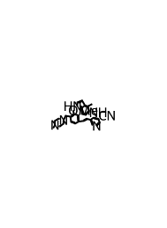 COc1cc(/C=C/c2cncc(C#N)c2Nc2ccc3[nH]ccc3c2C)ccc1CN1CCN(C)CC1